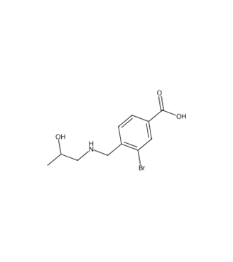 CC(O)CNCc1ccc(C(=O)O)cc1Br